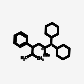 CCCC[C@@H](CC(c1ccccc1)N(C)C)P(C1CCCCC1)C1CCCCC1